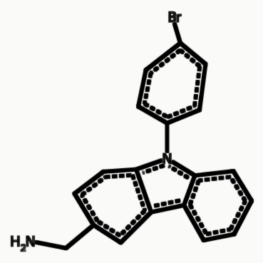 NCc1ccc2c(c1)c1ccccc1n2-c1ccc(Br)cc1